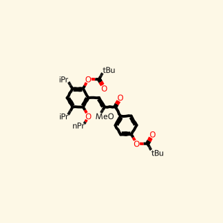 CCCOc1c(C(C)C)cc(C(C)C)c(OC(=O)C(C)(C)C)c1C=C(OC)C(=O)c1ccc(OC(=O)C(C)(C)C)cc1